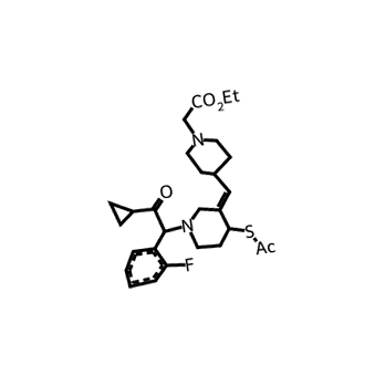 CCOC(=O)CN1CCC(C=C2CN(C(C(=O)C3CC3)c3ccccc3F)CCC2SC(C)=O)CC1